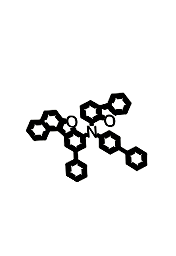 c1ccc(-c2ccc(N(c3cccc4c3oc3ccccc34)c3cc(-c4ccccc4)cc4c3oc3ccc5ccccc5c34)cc2)cc1